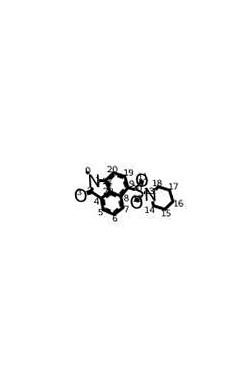 CN1C(=O)c2cccc3c(S(=O)(=O)N4CCCCC4)ccc1c23